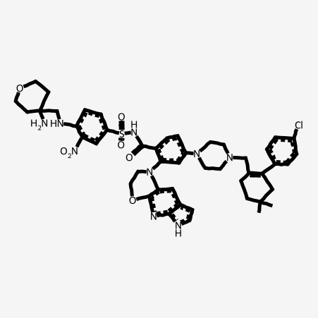 CC1(C)CCC(CN2CCN(c3ccc(C(=O)NS(=O)(=O)c4ccc(NCC5(N)CCOCC5)c([N+](=O)[O-])c4)c(N4CCOc5nc6[nH]ccc6cc54)c3)CC2)=C(c2ccc(Cl)cc2)C1